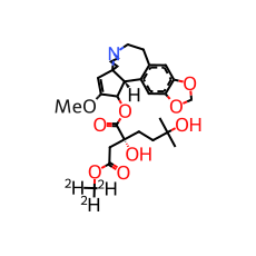 [2H]C([2H])([2H])OC(=O)C[C@](O)(CCC(C)(C)O)C(=O)OC1C(OC)=CC23CCCN2CCc2cc4c(cc2[C@H]13)OCO4